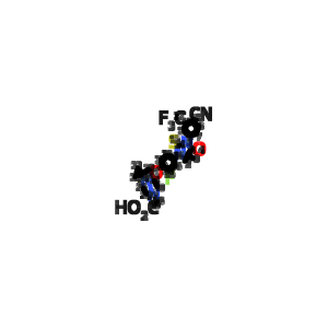 CC1(C)C(=O)N(c2ccc(C#N)c(C(F)(F)F)c2)C(=S)N1c1ccc(OCC2(N3CCN(CC(=O)O)CC3)CC2)c(F)c1